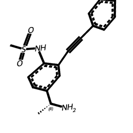 C[C@@H](N)c1ccc(NS(C)(=O)=O)c(C#Cc2ccccc2)c1